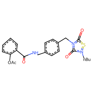 CCCCn1sc(=O)n(Cc2ccc(CNC(=O)c3ccccc3OC(C)=O)cc2)c1=O